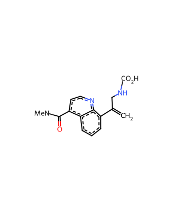 C=C(CNC(=O)O)c1cccc2c(C(=O)NC)ccnc12